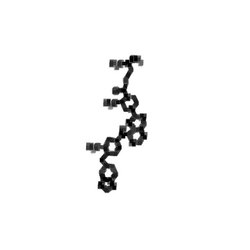 Cc1cc(Nc2ncnc3cnc(N4CCN(C(=O)/C=C/CN(C)C)[C@H](C)C4)nc23)ccc1Cc1ccn2ncnc2c1